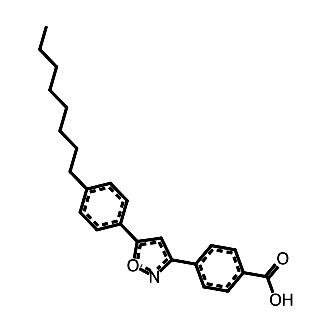 CCCCCCCCc1ccc(-c2cc(-c3ccc(C(=O)O)cc3)no2)cc1